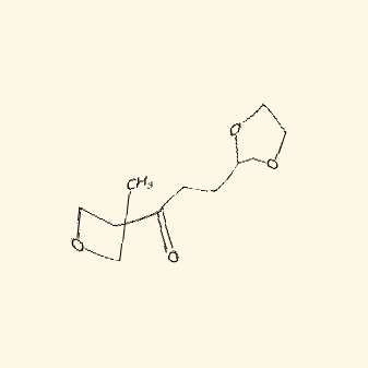 CC1(C(=O)CCC2OCCO2)COC1